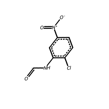 O=[C]Nc1cc([N+](=O)[O-])ccc1Cl